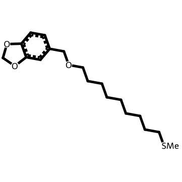 CSCCCCCCCCCOCc1ccc2c(c1)OCO2